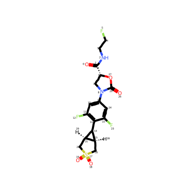 O=C(NCCF)[C@H]1CN(c2cc(F)c(C3[C@H]4CS(=O)(=O)C[C@@H]34)c(F)c2)C(=O)O1